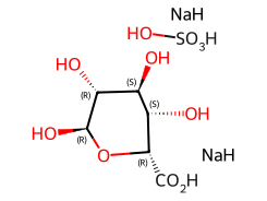 O=C(O)[C@@H]1O[C@@H](O)[C@H](O)[C@@H](O)[C@@H]1O.O=S(=O)(O)O.[NaH].[NaH]